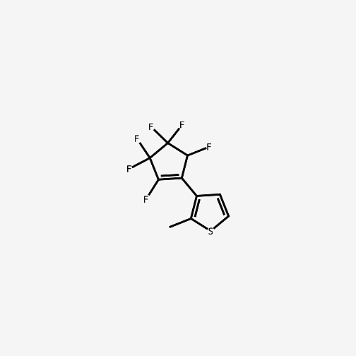 Cc1sccc1C1=C(F)C(F)(F)C(F)(F)C1F